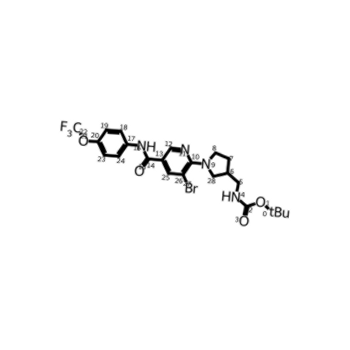 CC(C)(C)OC(=O)NCC1CCN(c2ncc(C(=O)Nc3ccc(OC(F)(F)F)cc3)cc2Br)C1